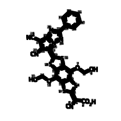 [C-]#[N+]C(C(=O)O)=C1Sc2c(OCO)c3c(c(OCO)c2S1)SC(=c1c([N+]#[C-])c(C#N)c2nc(-c4ccccc4)nn12)S3